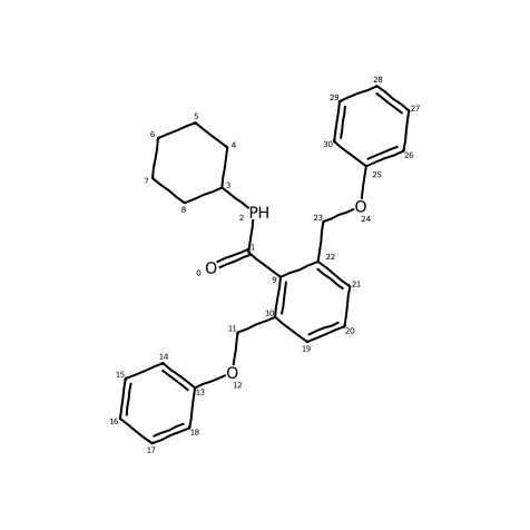 O=C(PC1CCCCC1)c1c(COc2ccccc2)cccc1COc1ccccc1